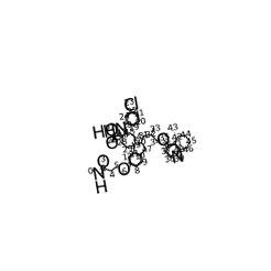 CNC(=O)CCOc1ccc2c(c1)C1(CCC(Nc3cccc(Cl)c3)(C(=O)O)CC1)[C@@H](C[C@@H](C)COc1ccnc3c1[C@H](C)CCC3)C2